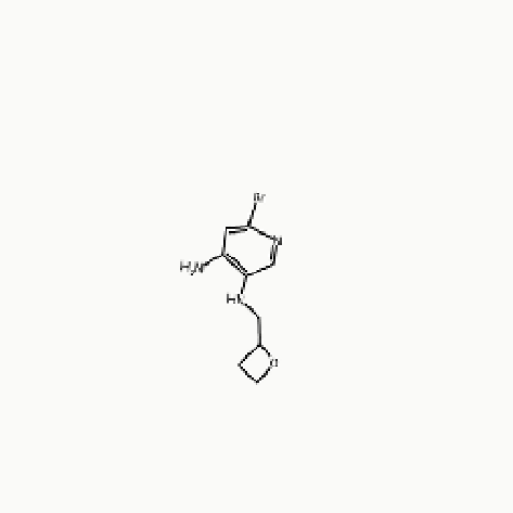 Nc1cc(Br)ncc1NCC1CCO1